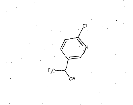 OC(c1ccc(Cl)nc1)C(F)(F)F